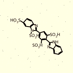 O=S(=O)(O)c1ccc2nc(-c3cc(S(=O)(=O)O)c(-c4nc5ccccc5[nH]4)c(S(=O)(=O)O)c3)n(S(=O)(=O)O)c2c1